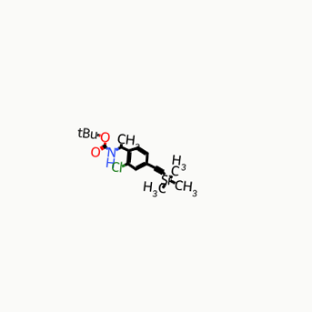 CC(NC(=O)OC(C)(C)C)c1ccc(C#C[Si](C)(C)C)cc1Cl